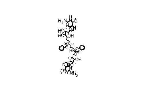 COc1nc(N)nc2c1ncn2[C@@H]1O[C@H](COP(=O)(NCCNP(=O)(OCC[C@@H](O)[C@@](C)(O)[C@@H](O)n2cnc3c2N=C(N)NC3OC)Oc2ccccc2)Oc2ccccc2)[C@@H](O)[C@@]1(C)O